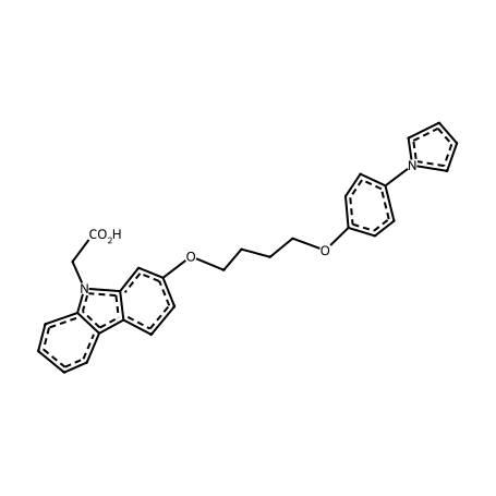 O=C(O)Cn1c2ccccc2c2ccc(OCCCCOc3ccc(-n4cccc4)cc3)cc21